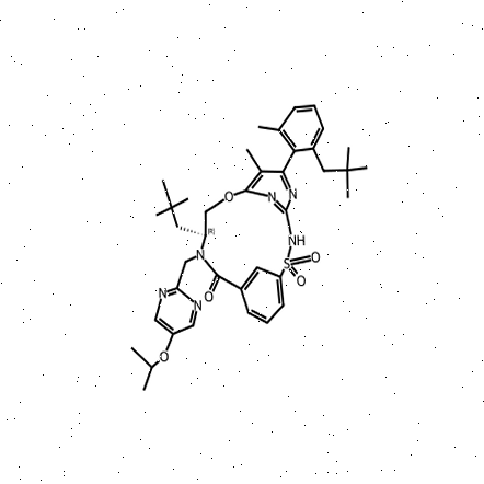 Cc1cccc(CC(C)(C)C)c1-c1nc2nc(c1C)OC[C@@H](CC(C)(C)C)N(Cc1ncc(OC(C)C)cn1)C(=O)c1cccc(c1)S(=O)(=O)N2